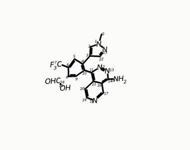 Cn1cc(-c2cc(C(F)(F)F)ccc2-c2nnc(N)c3cnccc23)cn1.O=CO